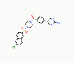 Nc1ncc(-c2ccc(C(=O)N3CCN(S(=O)(=O)c4ccc5cc(Cl)ccc5c4)CC3)cc2)cn1